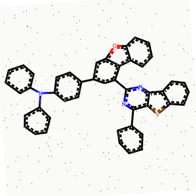 c1ccc(-c2nc(-c3cc(-c4ccc(N(c5ccccc5)c5ccccc5)cc4)cc4oc5ccccc5c34)nc3c2sc2ccccc23)cc1